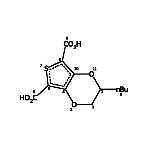 CCCCC1COc2c(C(=O)O)sc(C(=O)O)c2O1